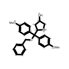 COc1ccc(C(OCc2ccccc2)(c2ccc(OC)cc2)C2CC(O)CN2)cc1